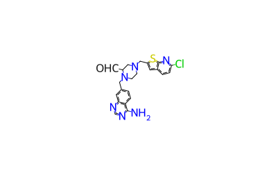 Nc1ncnc2cc(CN3CCN(Cc4cc5ccc(Cl)nc5s4)CC3C=O)ccc12